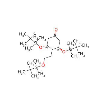 CC(C)(C)[Si](C)(C)OCCC1[C@H](O[Si](C)(C)C(C)(C)C)CC(=O)C[C@H]1O[Si](C)(C)C(C)(C)C